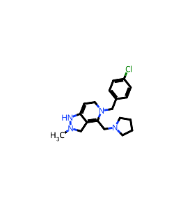 CN1CC2=C(CN3CCCC3)N(Cc3ccc(Cl)cc3)CC=C2N1